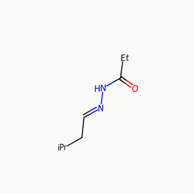 CCC(=O)N/N=C/CC(C)C